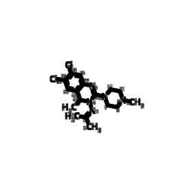 CC(C)=NN1C(N2CCN(C)CC2)=Nc2cc(Cl)c(Cl)cc2C1C